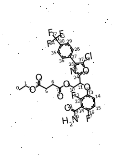 CCOC(=O)CCC(=O)OCC(Oc1ccc(F)c(C(N)=O)c1F)c1nc(-c2ccc(C(F)(F)F)cc2)c(Cl)o1